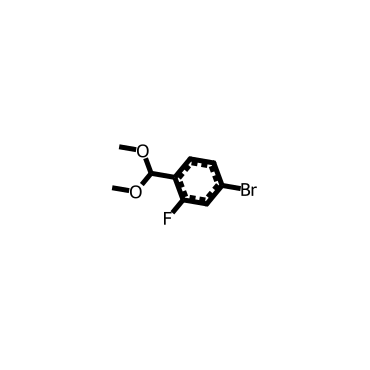 COC(OC)c1ccc(Br)cc1F